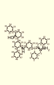 NN(Cc1ccccc1)N(Cc1ccccc1)Cc1cccc(Nc2cc(-c3cccc(-c4ccccc4)c3O)ccc2-c2ccccc2)c1